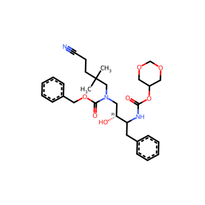 CC(C)(CCC#N)CN(C[C@@H](O)C(Cc1ccccc1)NC(=O)OC1COCOC1)C(=O)OCc1ccccc1